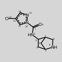 O=C(NC1CC2CC1CN2)n1cc(Cl)cn1